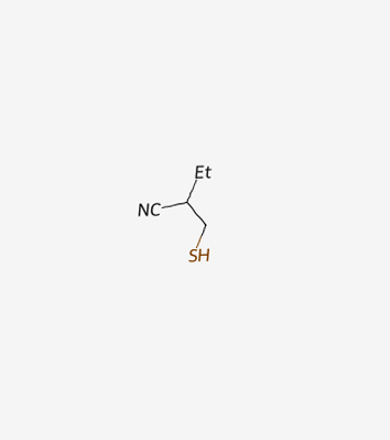 CCC(C#N)CS